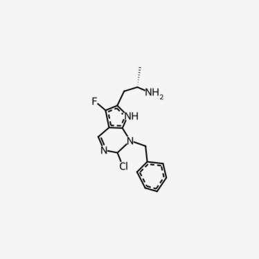 C[C@H](N)Cc1[nH]c2c(c1F)C=NC(Cl)N2Cc1ccccc1